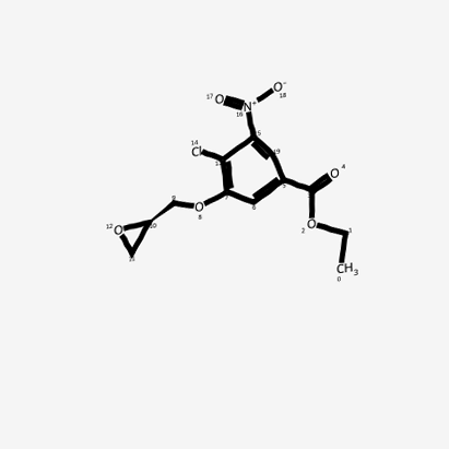 CCOC(=O)c1cc(OC[C@H]2CO2)c(Cl)c([N+](=O)[O-])c1